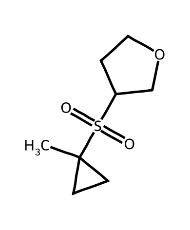 CC1(S(=O)(=O)C2CCOC2)CC1